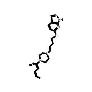 C=N/C(=C\C=C/C)N1CCN(CCCCOc2ccc3cn[nH]c3n2)CC1